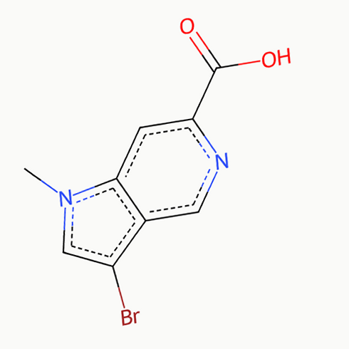 Cn1cc(Br)c2cnc(C(=O)O)cc21